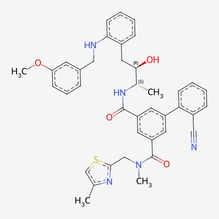 COc1cccc(CNc2ccccc2C[C@@H](O)[C@H](C)NC(=O)c2cc(C(=O)N(C)Cc3nc(C)cs3)cc(-c3ccccc3C#N)c2)c1